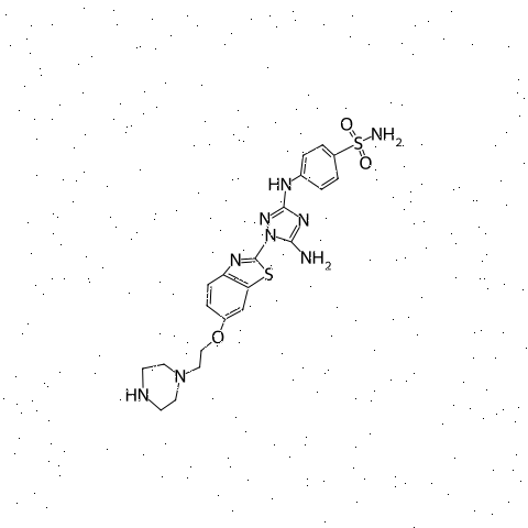 Nc1nc(Nc2ccc(S(N)(=O)=O)cc2)nn1-c1nc2ccc(OCCN3CCNCC3)cc2s1